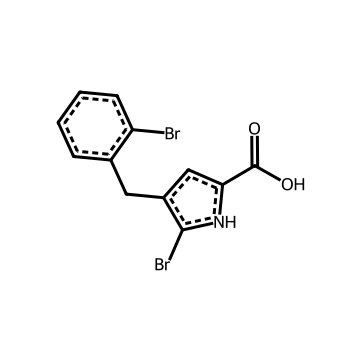 O=C(O)c1cc(Cc2ccccc2Br)c(Br)[nH]1